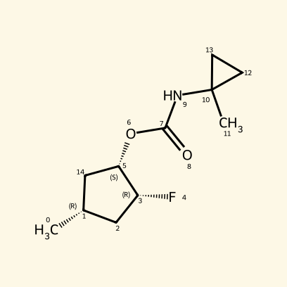 C[C@H]1C[C@@H](F)[C@@H](OC(=O)NC2(C)CC2)C1